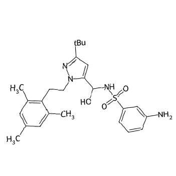 Cc1cc(C)c(CCn2nc(C(C)(C)C)cc2C(O)NS(=O)(=O)c2cccc(N)c2)c(C)c1